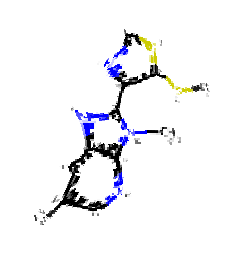 CCSc1scnc1-c1nc2cc(C(F)(F)F)cnc2n1C